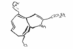 CCOC(=O)c1cc2c(C(F)(F)F)ccc(Cl)c2[nH]1